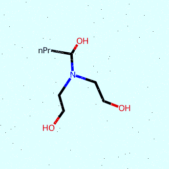 CCCC(O)N(CCO)CCO